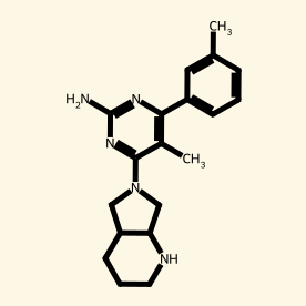 Cc1cccc(-c2nc(N)nc(N3CC4CCCNC4C3)c2C)c1